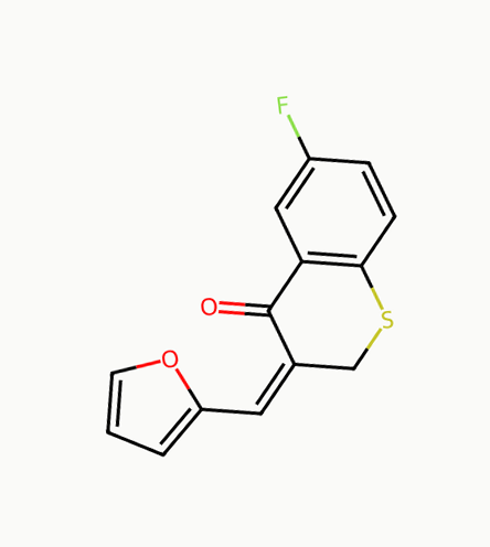 O=C1C(=Cc2ccco2)CSc2ccc(F)cc21